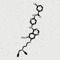 C#CCN(C#C)CCCOc1cc2ncnc(Nc3ccc(NC(=O)c4cccc(Cl)c4)nc3)c2cc1OC